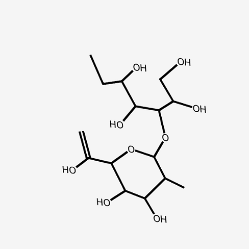 C=C(O)C1OC(OC(C(O)CO)C(O)C(O)CC)C(C)C(O)C1O